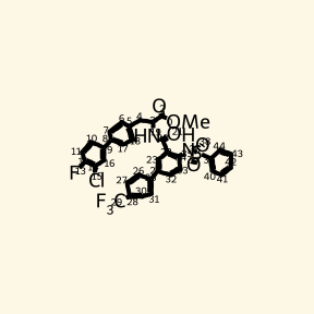 COC(=O)C(Cc1ccc(-c2ccc(F)c(Cl)c2)cc1)NC(=O)c1cc(-c2ccc(C(F)(F)F)cc2)ccc1NS(=O)(=O)c1ccccc1